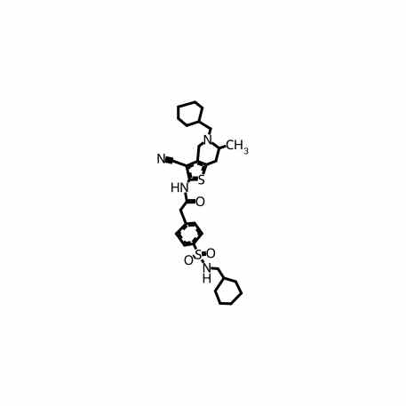 CC1Cc2sc(NC(=O)Cc3ccc(S(=O)(=O)NCC4CCCCC4)cc3)c(C#N)c2CN1CC1CCCCC1